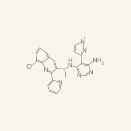 CC(Nc1ncnc(N)c1-c1ccn(C)n1)c1cc2cccc(Cl)c2nc1-c1ccccn1